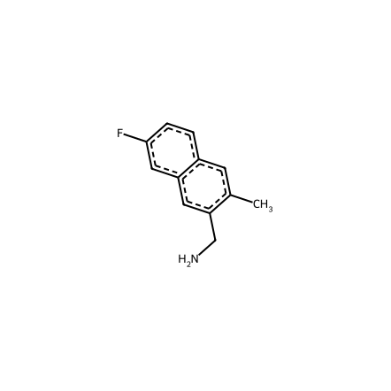 Cc1cc2ccc(F)cc2cc1CN